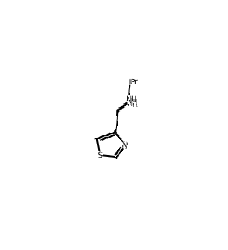 CC(C)NCc1cscn1